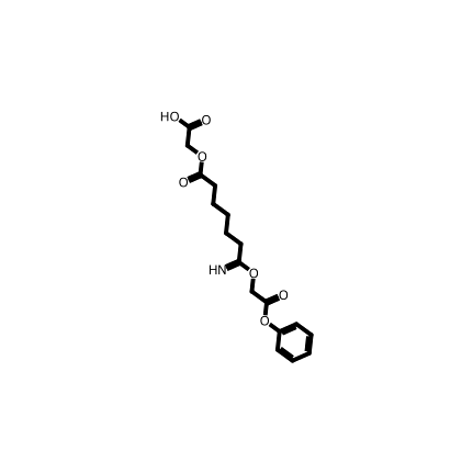 N=C(CCCCCC(=O)OCC(=O)O)OCC(=O)Oc1ccccc1